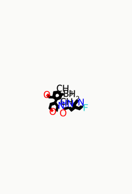 Bc1cc(C2=CCOCC2N(C)C(=O)c2cc3cc(F)ncc3[nH]2)c(C=O)cc1C